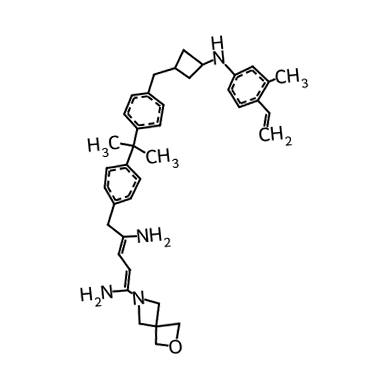 C=Cc1ccc(NC2CC(Cc3ccc(C(C)(C)c4ccc(C/C(N)=C/C=C(\N)N5CC6(COC6)C5)cc4)cc3)C2)cc1C